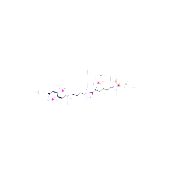 C=C(/C=C(\C=C/CNCCCCNC(=O)C(CCCCNC(=O)OC(C)(C)C)NC(=O)OC(C)(C)C)[N+](=O)[O-])[N+](=O)[O-]